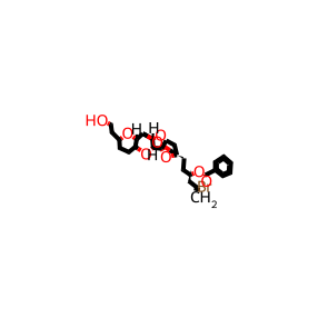 C=C(Br)C[C@@H](CC[C@@]12CC3O[C@H]4C(O1)[C@H]1OC(CCO)CCC1O[C@H]4C3O2)OC(=O)c1ccccc1